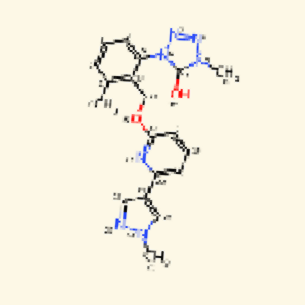 Cc1cccc(N2N=NN(C)C2O)c1COc1cccc(-c2cnn(C)c2)n1